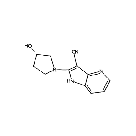 N#Cc1c(N2CC[C@H](O)C2)[nH]c2cccnc12